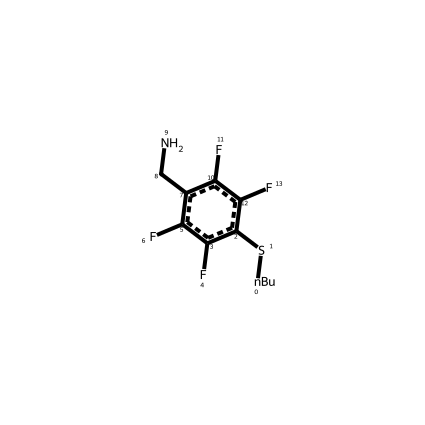 CCCCSc1c(F)c(F)c(CN)c(F)c1F